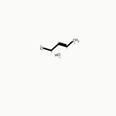 CC=CCCl.Cl